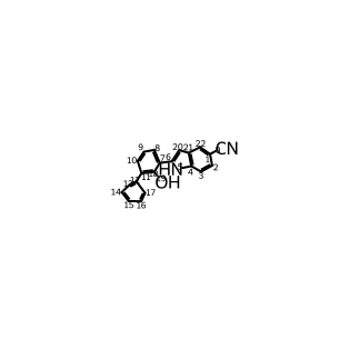 N#Cc1ccc2[nH]c(-c3cccc(-c4ccccc4)c3O)cc2c1